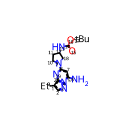 CCc1cnn2c(N)cc(N3CC[C@H](NC(=O)OC(C)(C)C)C3)nc12